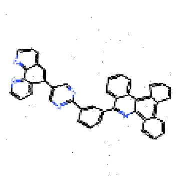 c1cc(-c2ncc(-c3cc4cccnc4c4ncccc34)cn2)cc(-c2nc3c4ccccc4c4ccccc4c3c3ccccc23)c1